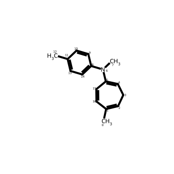 CC1=CCC=C(N(C)c2ccc(C)cc2)C=C1